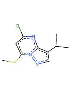 CSc1cc(Cl)nc2c(C(C)C)cnn12